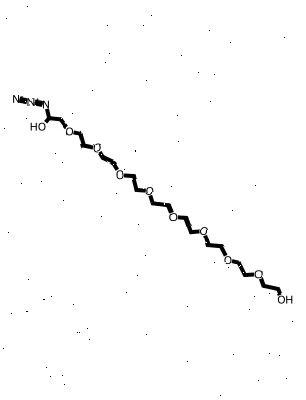 [N-]=[N+]=NC(O)COCCOCCOCCOCCOCCOCCOCCOCCO